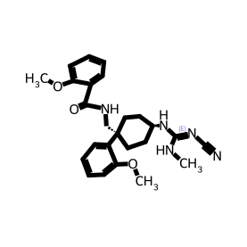 CN/C(=N\C#N)N[C@H]1CC[C@@](CNC(=O)c2ccccc2OC)(c2ccccc2OC)CC1